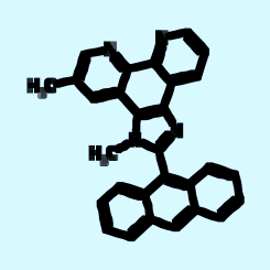 Cc1cnc2c(c1)c1c(nc(-c3c4ccccc4cc4ccccc34)n1C)c1cccnc12